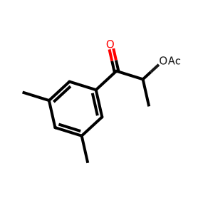 CC(=O)OC(C)C(=O)c1cc(C)cc(C)c1